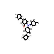 Cc1ccc(N2c3ccc(-c4ccccc4)cc3Oc3cc(-c4ccccc4)ccc32)cc1